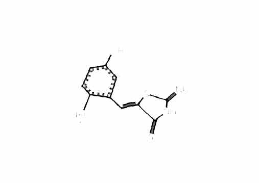 N=C1NC(=O)/C(=C/c2cc(O)ccc2O)S1